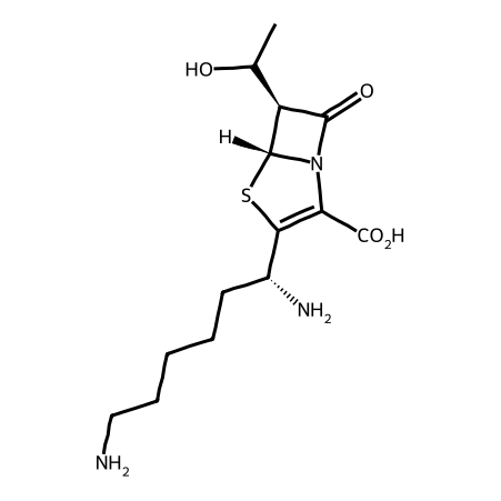 CC(O)[C@H]1C(=O)N2C(C(=O)O)=C([C@H](N)CCCCCN)S[C@H]12